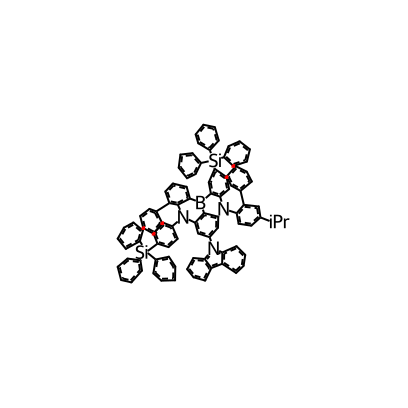 CC(C)c1ccc(N2c3ccc([Si](c4ccccc4)(c4ccccc4)c4ccccc4)cc3B3c4cccc(-c5ccccc5)c4N(c4ccc([Si](c5ccccc5)(c5ccccc5)c5ccccc5)cc4)c4cc(-n5c6ccccc6c6ccccc65)cc2c43)c(-c2ccccc2)c1